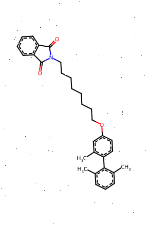 Cc1cc(OCCCCCCCCN2C(=O)c3ccccc3C2=O)ccc1-c1c(C)cccc1C